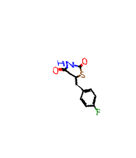 O=C1NC(=O)C(Cc2ccc(F)cc2)S1